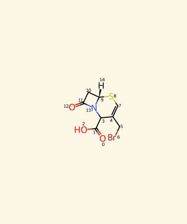 O=C(O)C1C(CBr)=CS[C@H]2CC(=O)N12